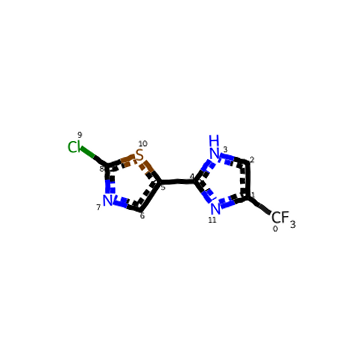 FC(F)(F)c1c[nH]c(-c2cnc(Cl)s2)n1